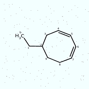 CCC1C/C=C\C=C/CC1